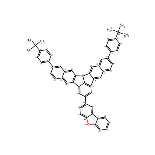 CC(C)(C)c1ccc(-c2ccc3cc4c(cc3c2)C2c3cc5cc(-c6ccc(C(C)(C)C)cc6)ccc5cc3-c3cc(-c5ccc6oc7ccccc7c6c5)cc-4c32)cc1